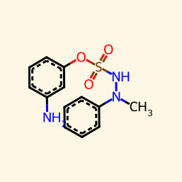 CN(NS(=O)(=O)Oc1cccc(N)c1)c1ccccc1